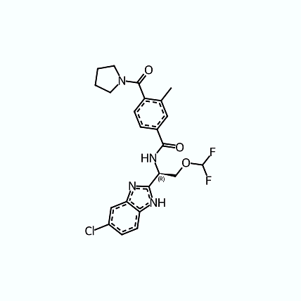 Cc1cc(C(=O)N[C@@H](COC(F)F)c2nc3cc(Cl)ccc3[nH]2)ccc1C(=O)N1CCCC1